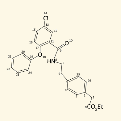 CCOC(=O)Cc1ccc(CCNC(=O)c2cc(Cl)ccc2Oc2ccccc2)cc1